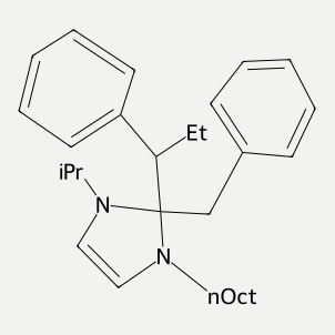 CCCCCCCCN1C=CN(C(C)C)C1(Cc1ccccc1)C(CC)c1ccccc1